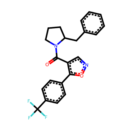 O=C(c1cnoc1-c1ccc(C(F)(F)F)cc1)N1CCCC1Cc1ccccc1